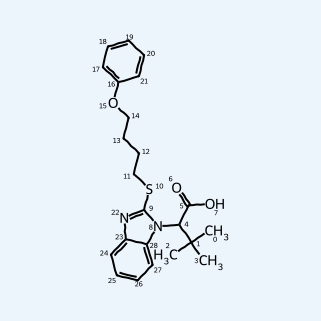 CC(C)(C)C(C(=O)O)n1c(SCCCCOc2ccccc2)nc2ccccc21